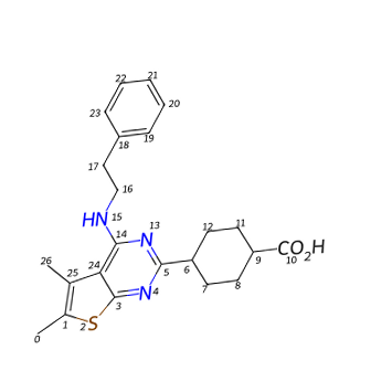 Cc1sc2nc(C3CCC(C(=O)O)CC3)nc(NCCc3ccccc3)c2c1C